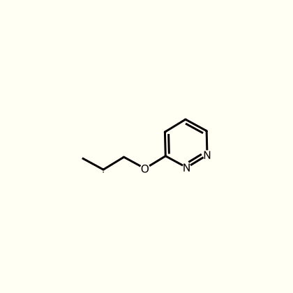 C[CH]COc1cccnn1